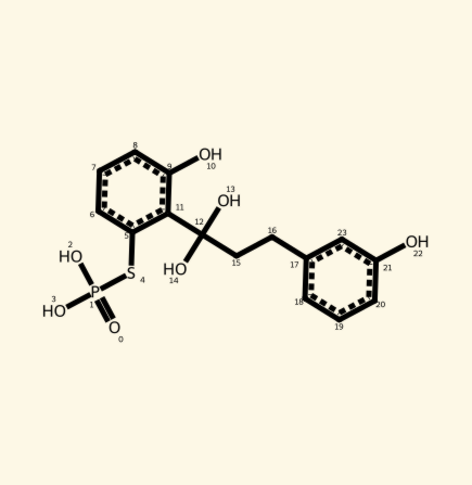 O=P(O)(O)Sc1cccc(O)c1C(O)(O)CCc1cccc(O)c1